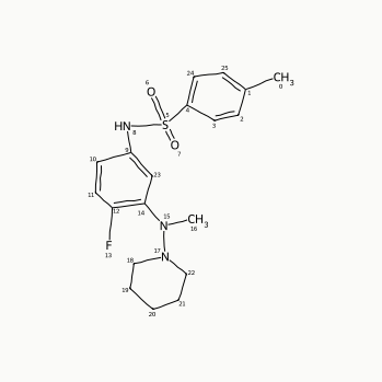 Cc1ccc(S(=O)(=O)Nc2ccc(F)c(N(C)N3CCCCC3)c2)cc1